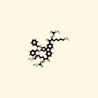 CCCCCC/C(=N\OC(C)=O)C(=O)c1ccc2c(c1)C(CCOCc1ccccc1)(CCOCc1ccccc1)c1cc(C(=O)/C(CCCCCC)=N/OC(C)=O)ccc1-2